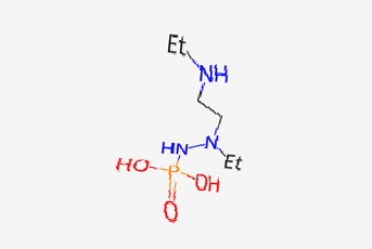 CCNCCN(CC)NP(=O)(O)O